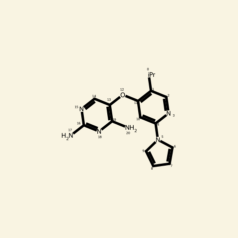 CC(C)c1cnc(-n2cccc2)cc1Oc1cnc(N)nc1N